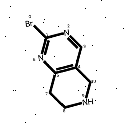 Brc1ncc2c(n1)CCNC2